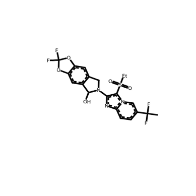 CCS(=O)(=O)c1c(N2Cc3cc4c(cc3C2O)OC(F)(F)O4)nc2ccc(C(C)(F)F)cn12